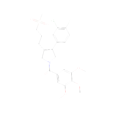 COc1cc(C(=O)N2CC(CCCS(C)(=O)=O)C(c3ccc(Cl)c(Cl)c3)C2)cc(OC)c1OC